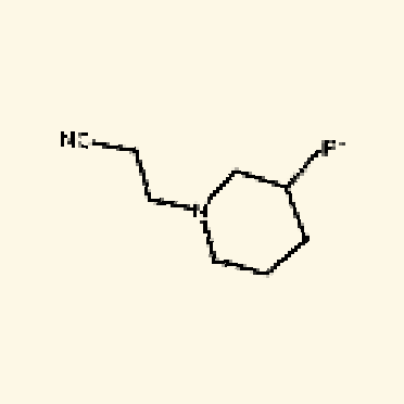 CC(C)C1CCCN(CCC#N)C1